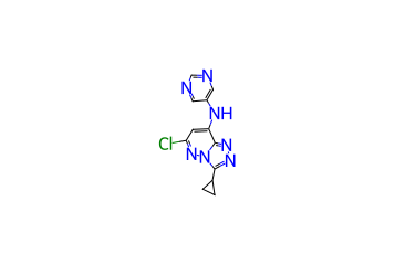 Clc1cc(Nc2cncnc2)c2nnc(C3CC3)n2n1